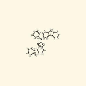 c1ccc2c(c1)sc1cc3c4ccccc4n(-c4nc5c(ccc6sc7ccccc7c65)o4)c3cc12